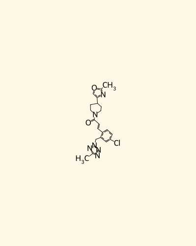 Cc1nnn(Cc2cc(Cl)ccc2C=CC(=O)N2CCC(c3coc(C)n3)CC2)n1